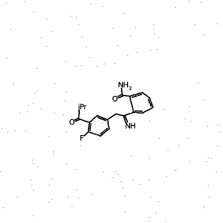 CC(C)C(=O)c1cc(CC(=N)c2ccccc2C(N)=O)ccc1F